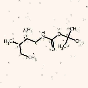 CC[C@@H](C)[C@H](C)CNC(=O)OC(C)(C)C